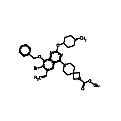 C=Cc1cc2c(N3CCC4(CC3)CN(C(=O)OC(C)(C)C)C4)nc(OC3CCN(C)CC3)nc2c(OCc2ccccc2)c1Br